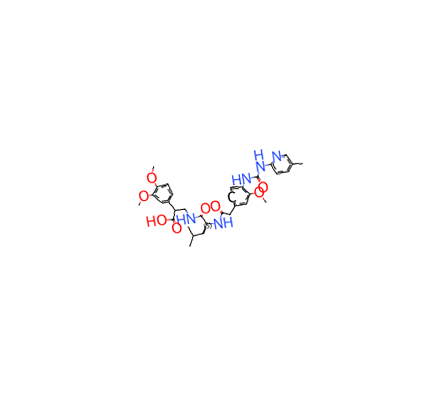 COc1cc(CC(=O)N[C@@H](CC(C)C)C(=O)NCC(C(=O)O)c2ccc(OC)c(OC)c2)ccc1NC(=O)Nc1ccc(C)cn1